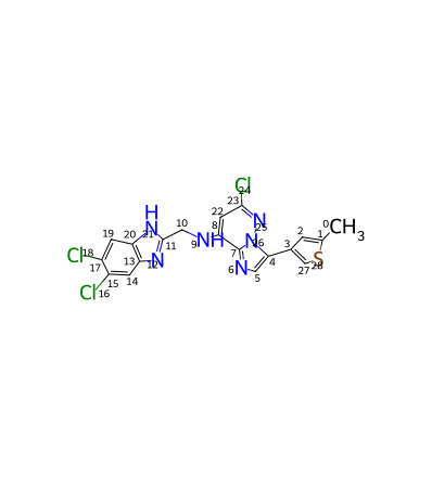 Cc1cc(-c2cnc3c(NCc4nc5cc(Cl)c(Cl)cc5[nH]4)cc(Cl)nn23)cs1